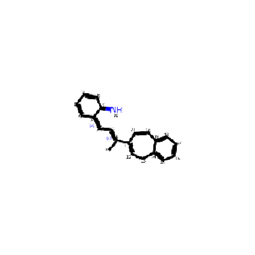 C/C(=C\C=C1\C=CC=CC1=N)C1=CCc2ccccc2C=C1